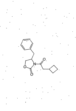 O=C(CC1CCC1)N1C(=O)OCC1Cc1ccccc1